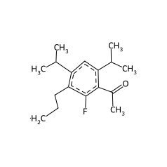 [CH2]CCc1c(C(C)C)cc(C(C)C)c(C(C)=O)c1F